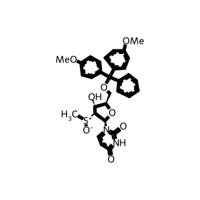 COc1ccc(C(OC[C@H]2O[C@@H](n3ccc(=O)[nH]c3=O)[C@H]([S+](C)[O-])[C@@H]2O)(c2ccccc2)c2ccc(OC)cc2)cc1